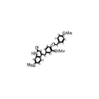 COc1ccc(COc2ccc(Cc3cc(=O)[nH]c4cc(OC)ccc34)cc2OC)cc1